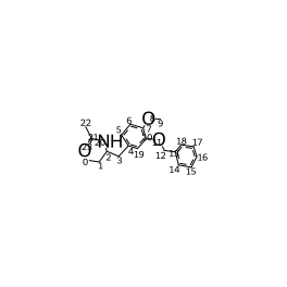 CCC(Cc1ccc(OC)c(OCc2ccccc2)c1)NC(C)=O